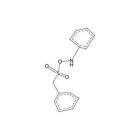 O=S(=O)(Cc1ccccc1)ONc1ccccc1